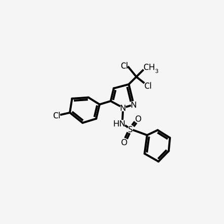 CC(Cl)(Cl)c1cc(-c2ccc(Cl)cc2)n(NS(=O)(=O)c2ccccc2)n1